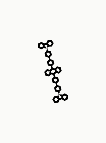 c1ccc2c(-c3ccc(-c4ccc(-n5c6ccccc6c6ccccc65)cc4)cc3)c3ccccc3c(-c3ccc(-c4ccc(-n5c6ccccc6c6ccccc65)cc4)cc3)c2c1